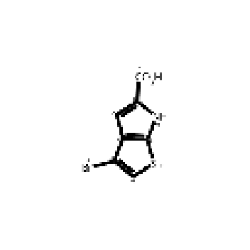 O=C(O)c1cc2c(Br)csc2[nH]1